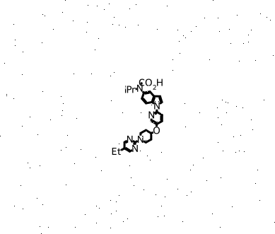 CCc1cnc(N2CCC(Oc3ccc(-n4ccc5cc(N(C(=O)O)C(C)C)ccc54)nc3)CC2)nc1